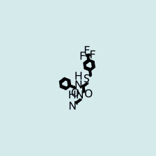 N#CCNC(=O)C(CSCc1ccc(C(F)(F)F)cc1)NC(=O)c1ccccc1